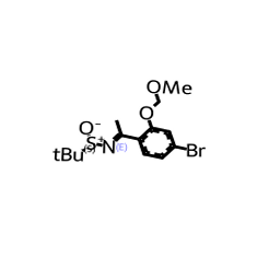 COCOc1cc(Br)ccc1/C(C)=N/[S@+]([O-])C(C)(C)C